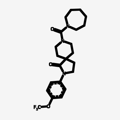 O=C(N1CCCCCC1)N1CCC2(CC1)CCN(c1ccc(OC(F)(F)F)cc1)C2=O